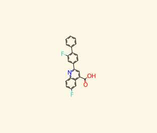 O=C(O)c1cc(-c2ccc(-c3ccccc3)c(F)c2)nc2ccc(F)cc12